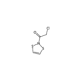 O=C(CCl)N1SC=CS1